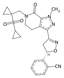 Cn1nc(C2=NO[C@H](c3ccccc3C#N)C2)c2c1C(=O)N(CC1(S(=O)(=O)C3CC3)CC1)CC2